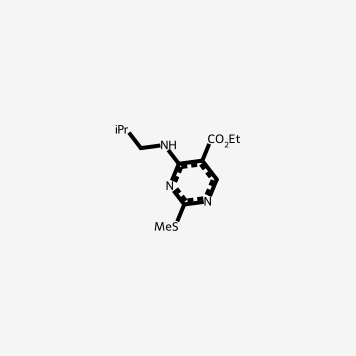 CCOC(=O)c1cnc(SC)nc1NCC(C)C